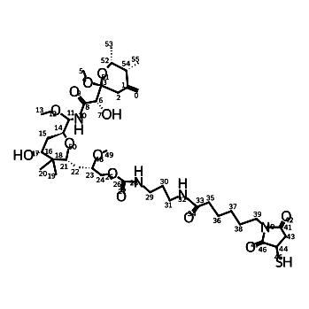 C=C1C[C@](OC)([C@H](O)C(=O)N[C@@H](OC)[C@@H]2C[C@@H](O)C(C)(C)[C@@H](C[C@@H](COC(=O)NCCCNC(=O)CCCCCN3C(=O)CC(S)C3=O)OC)O2)O[C@H](C)[C@@H]1C